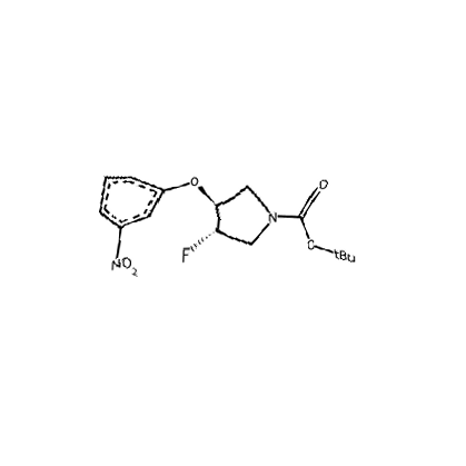 CC(C)(C)OC(=O)N1C[C@H](Oc2cccc([N+](=O)[O-])c2)[C@@H](F)C1